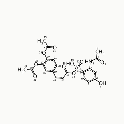 CC(=O)Nc1cc(O)ccc1[As](=O)(O)OC(=O)/C=C\c1ccc(OC(C)=O)c(OC(C)=O)c1